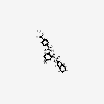 COC(=O)c1ccc(S(=O)(=O)Nc2ccc(Cl)cc2NS(=O)(=O)c2cc3ccccc3o2)cc1